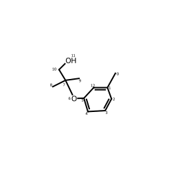 Cc1cccc(OC(C)(C)CO)c1